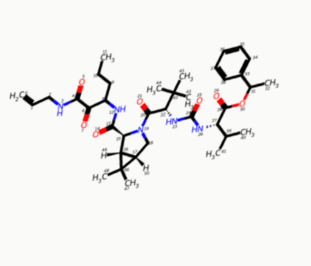 C=CCNC(=O)C(=O)C(CCC)NC(=O)[C@@H]1[C@@H]2[C@H](CN1C(=O)[C@@H](NC(=O)N[C@H](C(=O)OC(C)c1ccccc1)C(C)C)C(C)(C)C)C2(C)C